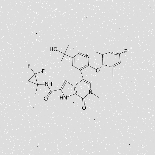 Cc1cc(F)cc(C)c1Oc1ncc(C(C)(C)O)cc1-c1cn(C)c(=O)c2[nH]c(C(=O)NC3(C)CC3(F)F)cc12